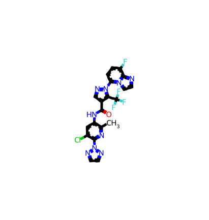 Cc1nc(-n2nccn2)c(Cl)cc1NC(=O)c1cnn(-c2ccc(F)c3nccn23)c1C(F)(F)F